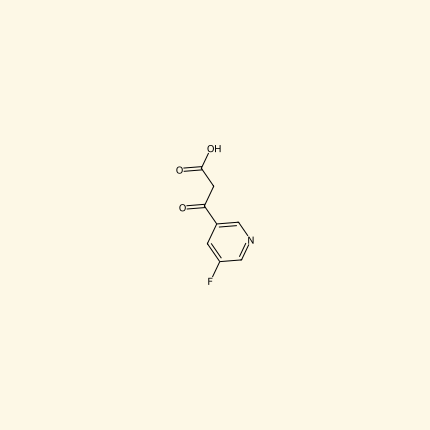 O=C(O)CC(=O)c1cncc(F)c1